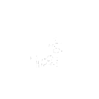 Cc1c(NC(=O)OC(C)(C)C)cncc1-c1cc2cc(NC(=O)O)ncc2c(NC(=O)OC(C)(C)C)c1F